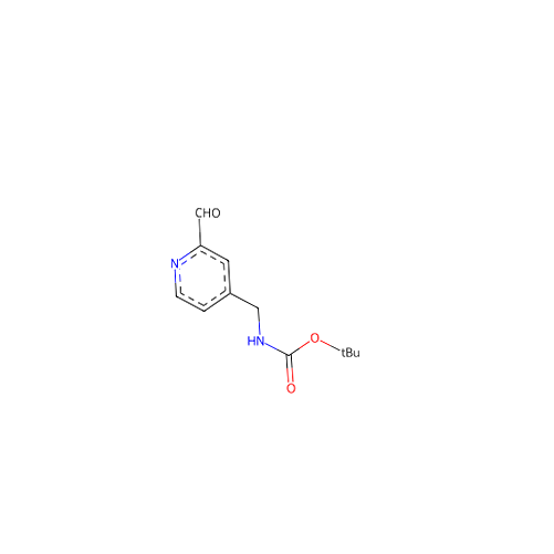 CC(C)(C)OC(=O)NCc1ccnc(C=O)c1